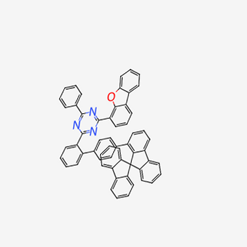 c1ccc(-c2nc(-c3ccccc3-c3ccc(-c4cccc5c4C4(c6ccccc6-c6ccccc64)c4ccccc4-5)cc3)nc(-c3cccc4c3oc3ccccc34)n2)cc1